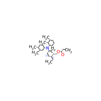 C=CC(=O)OCCC(/C=C\C(=C)N(c1ccc(C)c(C)c1)c1cccc(C)c1C)=C/C